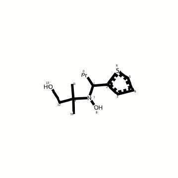 CC(C)C(c1cccs1)N(O)C(C)(C)CO